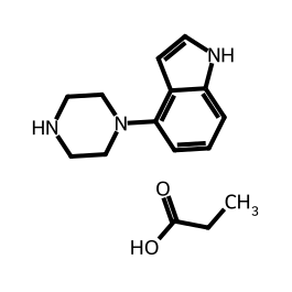 CCC(=O)O.c1cc(N2CCNCC2)c2cc[nH]c2c1